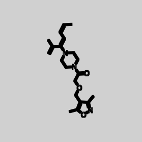 C=C(C)/C(=C\C=C/C)N1CCN(C(=O)COCc2c(C)noc2C)CC1